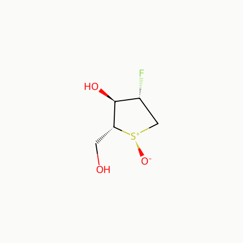 [O-][S@+]1C[C@@H](F)[C@H](O)[C@H]1CO